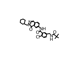 CC(C)(C)C(=O)NCc1ccc(Cl)c(C(=O)Nc2ccc3cnn(CC4CCCCC4)c(=O)c3c2)c1